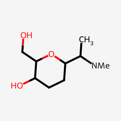 CNC(C)C1CCC(O)C(CO)O1